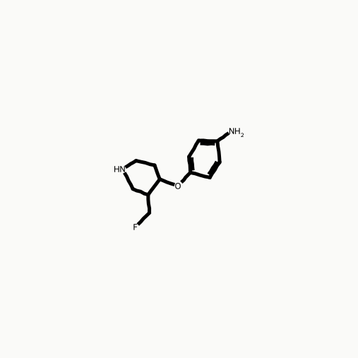 Nc1ccc(OC2CCNCC2CF)cc1